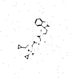 CN(C(=O)[C@H](CCC1CC1)NS(=O)(=O)C1CC1)[C@@H](CC(C)(C)C)C(=O)N1C[C@]2(C[C@H]1C#N)C(=O)Nc1ccccc12